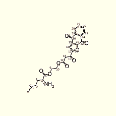 CSCCC(N)C(=O)OCCOC(=O)CC(=O)c1cc2c(o1)C(=O)c1ccccc1C2=O